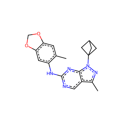 Cc1cc2c(cc1Nc1ncc3c(C)nn(C45CC(C4)C5)c3n1)OCO2